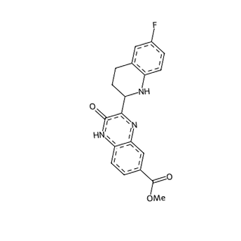 COC(=O)c1ccc2[nH]c(=O)c(C3CCc4cc(F)ccc4N3)nc2c1